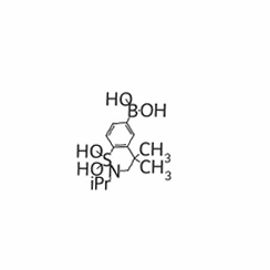 CC(C)N1CC(C)(C)c2cc(B(O)O)ccc2S1(O)O